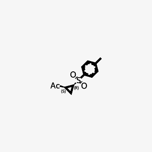 CC(=O)[C@@H]1C[C@H]1S(=O)(=O)c1ccc(C)cc1